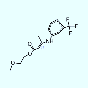 COCCOC(=O)/C=C(\C)Nc1cccc(C(F)(F)F)c1